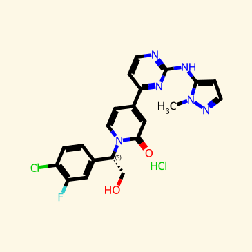 Cl.Cn1nccc1Nc1nccc(-c2ccn([C@H](CO)c3ccc(Cl)c(F)c3)c(=O)c2)n1